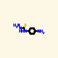 NNC(=S)Nc1ccc(N)cc1